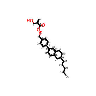 C=C(CO)C(=O)OOCc1ccc(-c2ccc3c(c2)CCC(CCCCC)C3)cc1